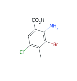 Cc1c(Cl)cc(C(=O)O)c(N)c1Br